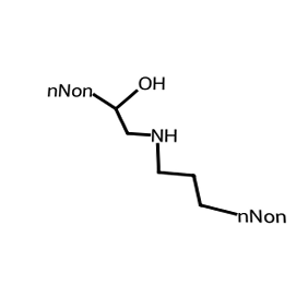 CCCCCCCCCCCCNCC(O)CCCCCCCCC